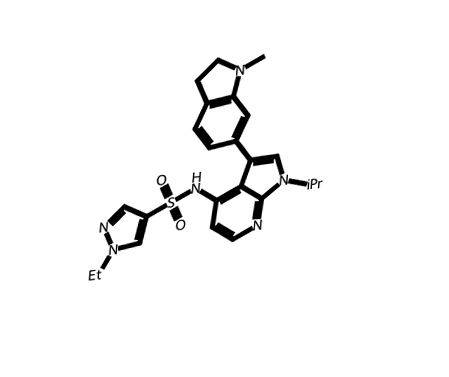 CCn1cc(S(=O)(=O)Nc2ccnc3c2c(-c2ccc4c(c2)N(C)CC4)cn3C(C)C)cn1